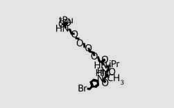 CC(C)[C@H](NC(=O)CCOCCOCCOCCOCCNC(=O)OC(C)(C)C)C(=O)N[C@@H](C)C(=O)Nc1ccc(CBr)cc1